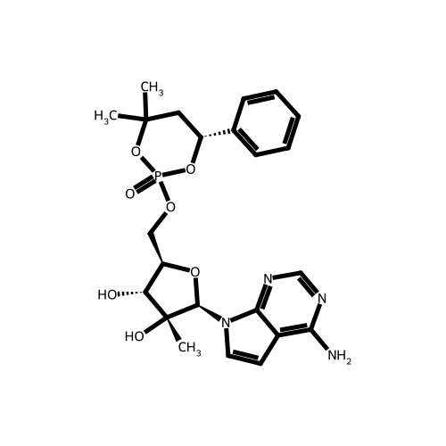 CC1(C)C[C@H](c2ccccc2)OP(=O)(OC[C@H]2O[C@@H](n3ccc4c(N)ncnc43)[C@](C)(O)[C@@H]2O)O1